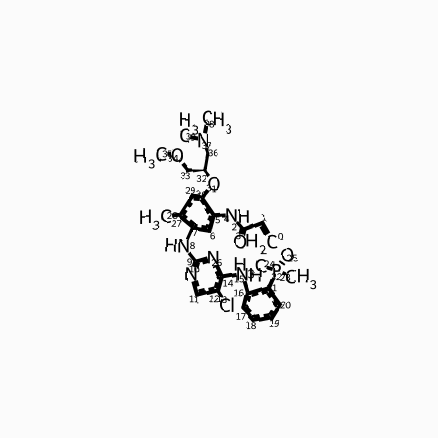 C=CC(=O)Nc1cc(Nc2ncc(Cl)c(Nc3ccccc3P(C)(C)=O)n2)c(C)cc1O[C@@H](COC)CN(C)C